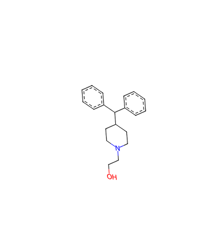 OCCN1CCC(C(c2ccccc2)c2ccccc2)CC1